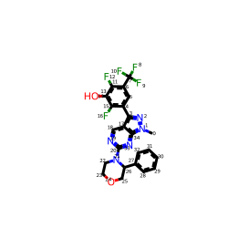 Cn1nc(-c2cc(C(F)(F)F)c(F)c(O)c2F)c2cnc(N3CCOCC3c3ccccc3)nc21